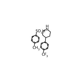 Cc1ccc(S(=O)(=O)O)cc1.FC(F)(F)c1ccc(C2CCNCC2)cc1